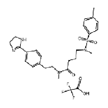 Cc1ccc(S(=O)(=O)N(C)CCCC(=O)N(C)CCc2ccc(C3=NCCN3)cc2)cc1.O=C(O)C(F)(F)F